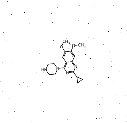 COc1cc2nc(C3CC3)nc(N3CCNCC3)c2cc1OC